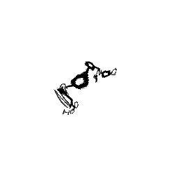 COc1ccc(N(Cc2cccc(-c3ccc(COc4cncc(C(=O)O)c4)cc3)c2)C(C)C)cc1